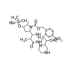 CC(=O)OC(C)C1CNCCN1NC(=O)C(C)C(S)C1CC(O[Si](C)(C)C(C)(C)C)CN1C(=O)OCc1ccc([N+](=O)[O-])cc1